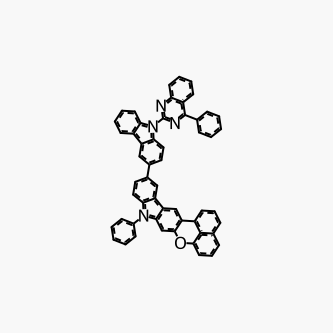 c1ccc(-c2nc(-n3c4ccccc4c4cc(-c5ccc6c(c5)c5cc7c(cc5n6-c5ccccc5)Oc5cccc6cccc-7c56)ccc43)nc3ccccc23)cc1